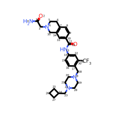 NC(=O)CN1CCc2ccc(C(=O)Nc3ccc(CN4CCN(CC5CCC5)CC4)c(C(F)(F)F)c3)cc2C1